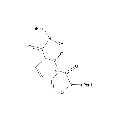 C=CC(C(=O)N(O)CCCCC)[S+]([O-])[C@@H](C=C)C(=O)N(O)CCCCC